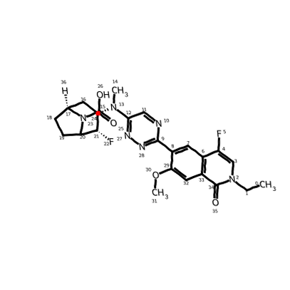 CCn1cc(F)c2cc(-c3ncc(N(C)[C@H]4C[C@@H]5CCC([C@H]4F)N5C(=O)O)nn3)c(OC)cc2c1=O